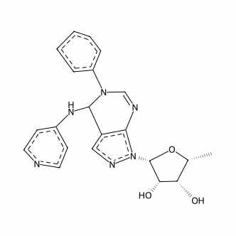 C[C@H]1O[C@@H](n2ncc3c2N=CN(c2ccccc2)C3Nc2ccncc2)[C@@H](O)[C@H]1O